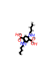 CCCCCNC1=C(C(=O)O)CC(NCCCCC)C(C(=O)O)C1